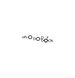 CCC[C@H]1CC[C@H](CO[C@H]2CC[C@H](C(=O)Oc3ccc(C#N)c(F)c3)CC2)CC1